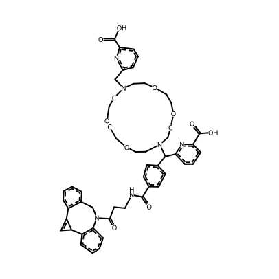 O=C(NCCC(=O)N1Cc2ccccc2C2=CC2c2ccccc21)c1ccc(C(c2cccc(C(=O)O)n2)N2CCOCCOCCN(Cc3cccc(C(=O)O)n3)CCOCCOCC2)cc1